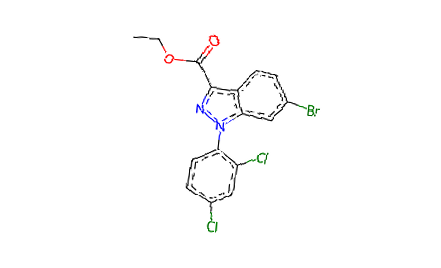 CCOC(=O)c1nn(-c2ccc(Cl)cc2Cl)c2cc(Br)ccc12